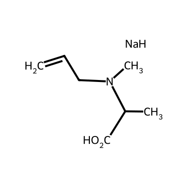 C=CCN(C)C(C)C(=O)O.[NaH]